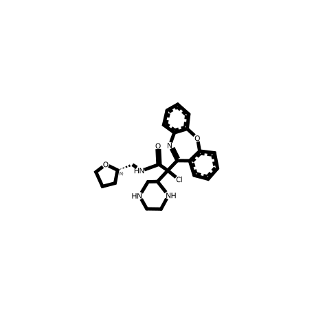 O=C(NC[C@@H]1CCCO1)C(Cl)(C1=Nc2ccccc2Oc2ccccc21)C1CNCCN1